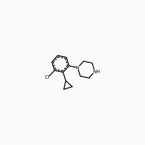 Clc1cccc(N2CCNCC2)c1C1CC1